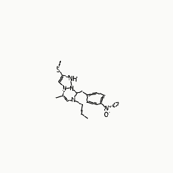 CCCN1C=C(C)N2C=C(SC)NN2C1Cc1ccc([N+](=O)[O-])cc1